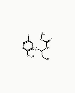 CC(C)CC(NC(=O)OC(C)(C)C)C(=O)O.O=C(O)c1ccc(F)cc1